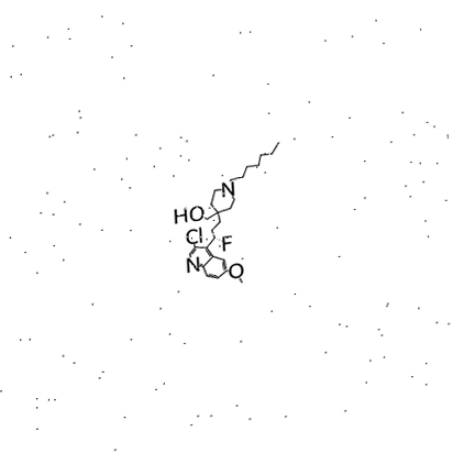 CCCCCCCN1CCC(CO)(CC[C@H](F)c2c(Cl)cnc3ccc(OC)cc23)CC1